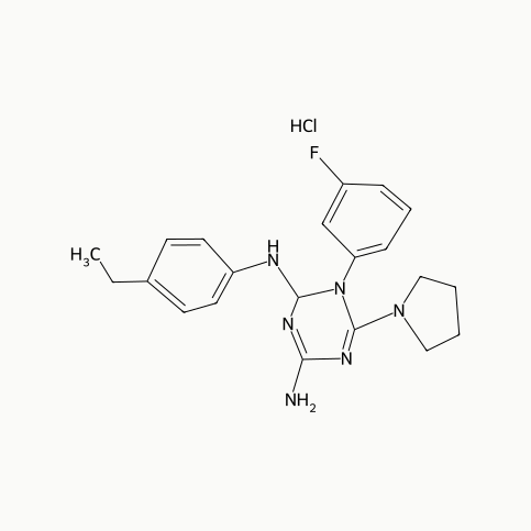 CCc1ccc(NC2N=C(N)N=C(N3CCCC3)N2c2cccc(F)c2)cc1.Cl